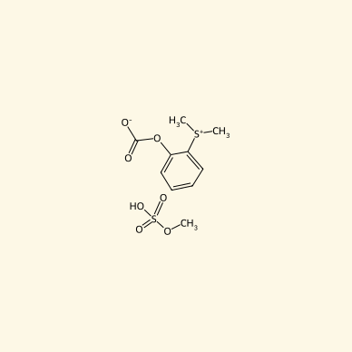 COS(=O)(=O)O.C[S+](C)c1ccccc1OC(=O)[O-]